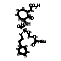 CC(C)(C)C(=O)OCO[C@H](CCCc1ccccc1)[PH](=O)NC1CCCCN(CC(=O)O)C1=O